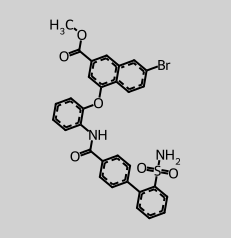 COC(=O)c1cc(Oc2ccccc2NC(=O)c2ccc(-c3ccccc3S(N)(=O)=O)cc2)c2ccc(Br)cc2c1